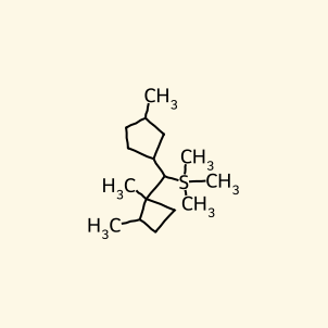 CC1CCC(C(C2(C)CCC2C)S(C)(C)C)C1